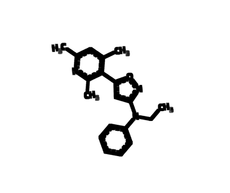 CCN(c1ccccc1)c1cc(-c2c(C)cc(C)nc2C)on1